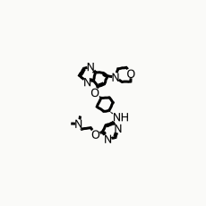 CN(C)CCOc1cc(N[C@H]2CC[C@@H](Oc3cc(N4CCOCC4)cc4nccnc34)CC2)ncn1